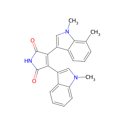 Cc1cccc2c(C3=C(c4cn(C)c5ccccc45)C(=O)NC3=O)cn(C)c12